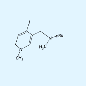 CCCCN(C)CC1=CN(C)CC=C1I